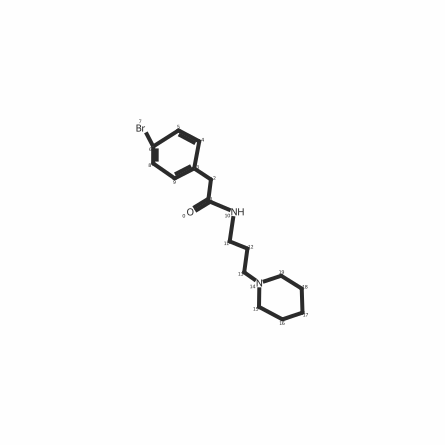 O=C(Cc1ccc(Br)cc1)NCCCN1CCCCC1